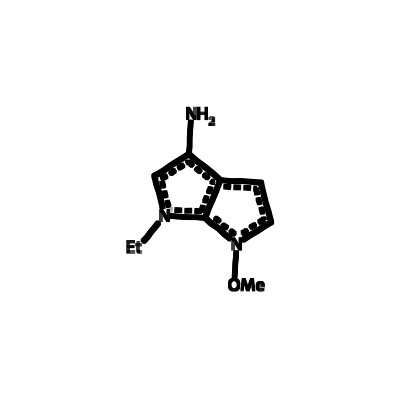 CCn1cc(N)c2ccn(OC)c21